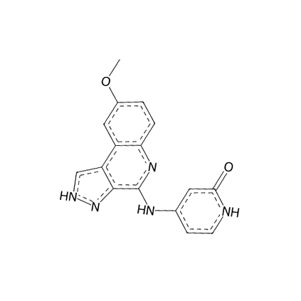 COc1ccc2nc(Nc3cc[nH]c(=O)c3)c3n[nH]cc3c2c1